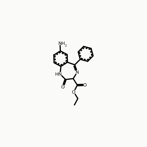 CCOC(=O)C1N=C(c2ccccc2)c2cc(N)ccc2NC1=O